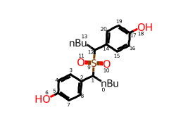 CCCCC(c1ccc(O)cc1)S(=O)(=O)C(CCCC)c1ccc(O)cc1